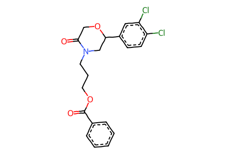 O=C(OCCCN1CC(c2ccc(Cl)c(Cl)c2)OCC1=O)c1ccccc1